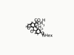 CCCCCCOc1ccc(C(=O)c2c(C)c(C(C)C(=O)O)cc3c2OCC3)cc1